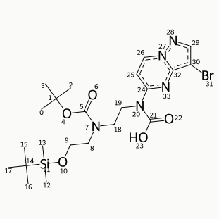 CC(C)(C)OC(=O)N(CCO[Si](C)(C)C(C)(C)C)CCN(C(=O)O)c1ccn2ncc(Br)c2n1